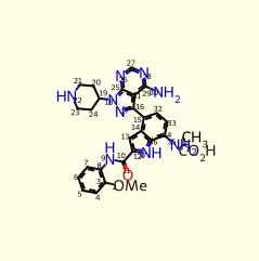 CC(=O)O.COc1ccccc1NC(=O)c1cc2c(-c3nn(C4CCNCC4)c4ncnc(N)c34)ccc(N)c2[nH]1